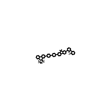 CC1(C)c2cc(-c3ccc(-c4ccc(-c5ccc6c7ccccc7c7nccnc7c6c5)cc4)cc3)ccc2-c2ccc(-c3cccc4c3sc3ccccc34)cc21